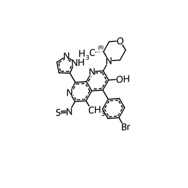 Cc1c(N=S)nc(-c2ccn[nH]2)c2nc(N3CCOC[C@H]3C)c(O)c(-c3ccc(Br)cc3)c12